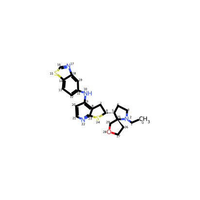 CCN1CC[C@@H](C2Cc3c(Nc4ccc5scnc5c4)ccnc3S2)[C@]12CCOC2